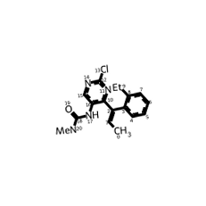 C/C=C(\c1ccccc1CC)c1nc(Cl)ncc1NC(=O)NC